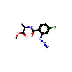 COC(=O)C(C)NC(=O)c1ccc(Cl)cc1N=[N+]=[N-]